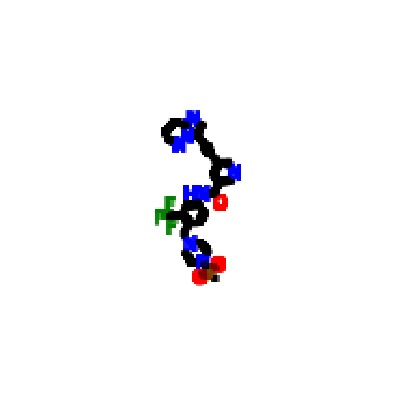 CS(=O)(=O)N1CCN(Cc2ccc(NC(=O)c3cncc(C#Cc4cnc5cccnn45)c3)cc2C(F)(F)F)CC1